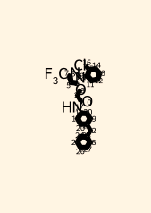 O=C(COc1cc(C(F)(F)F)nn1-c1ccccc1Cl)Nc1ccc(Cc2ccccc2)cc1